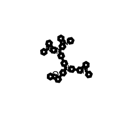 c1ccc(-n2c3ccccc3c3cc(-c4ccc(N(c5ccc(-c6ccc(N(c7ccc8c(c7)c7ccccc7n8-c7ccccc7)c7ccc8c(c7)c7ccccc7n8-c7ccccc7)cc6)cc5)c5ccc(-c6cccc7c6oc6ccccc67)cc5)cc4)ccc32)cc1